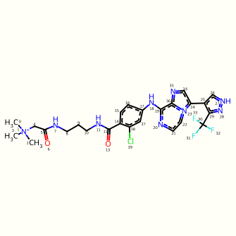 C[N+](C)(C)CC(=O)NCCCNC(=O)c1ccc(Nc2nccn3c(-c4c[nH]nc4C(F)(F)F)cnc23)cc1Cl